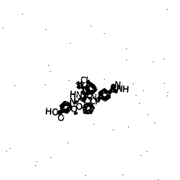 COc1cc(C(=O)O)ccc1NC(=O)[C@@H]1N[C@@H](CC(C)(C)C)[C@@]2(CN(Cc3ccc(-c4cn[nH]c4)cc3)c3ccc(Cl)cc32)[C@H]1c1ccccc1Cl